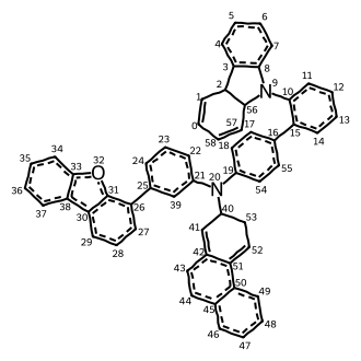 C1=CC2c3ccccc3N(c3ccccc3-c3ccc(N(c4cccc(-c5cccc6c5oc5ccccc56)c4)C4C=c5ccc6ccccc6c5=CC4)cc3)C2C=C1